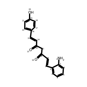 Nc1ccccc1C=CC(=O)CC(=O)C=Cc1ccc(O)cc1